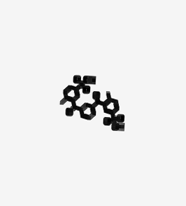 Cc1ccc(S(=O)(=O)O)cc1C(=O)c1cccc(C(=O)c2cc(S(=O)(=O)O)ccc2C)c1